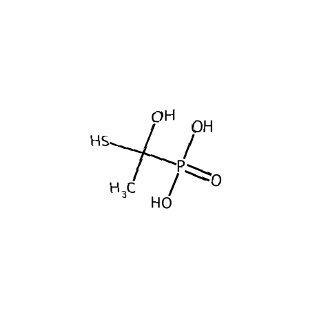 CC(O)(S)P(=O)(O)O